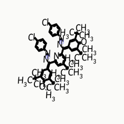 CC(C)(C)C1=CC(=C(/N=N/c2ccc(Cl)cc2)c2cc(C(C)(C)C)cc(C(/N=N/c3ccc(Cl)cc3)=C3C=C(C(C)(C)C)C(=O)C(C(C)(C)C)=C3)n2)C=C(C(C)(C)C)C1=O